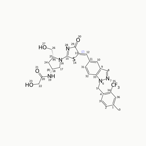 Cc1ccc(Cn2ncc3cc(/C=C4\SC(N5C[C@H](NC(=O)CO)C[C@@H]5CO)=NC4=O)ccc32)c(C(F)(F)F)c1